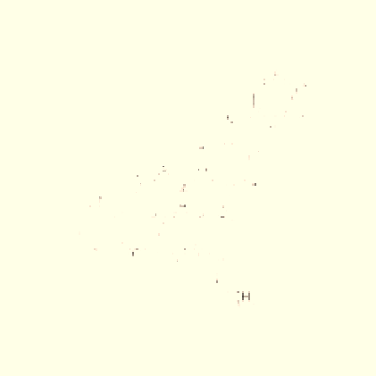 C=CCc1cc(Oc2ccccc2)ccc1Oc1ccc(Oc2ccccc2)cc1CC=C